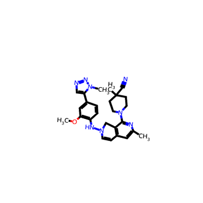 COc1cc(-c2cnnn2C)ccc1NN1C=Cc2cc(C)nc(N3CCC(C)(C#N)CC3)c2C1